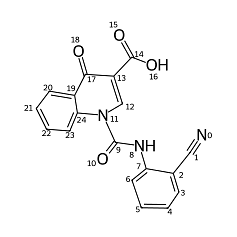 N#Cc1ccccc1NC(=O)n1cc(C(=O)O)c(=O)c2ccccc21